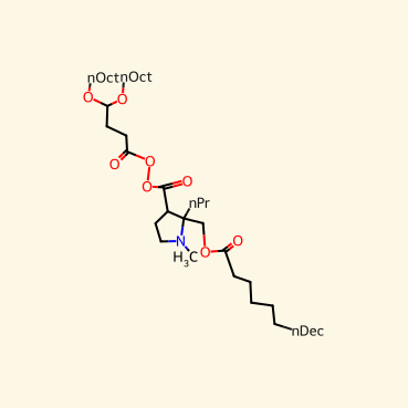 CCCCCCCCCCCCCCCC(=O)OCC1(CCC)C(C(=O)OOC(=O)CCC(OCCCCCCCC)OCCCCCCCC)CCN1C